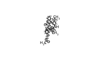 CCNc1ccc(NC(=O)CN(C)C)cc1N=C1SC(=C2Sc3ccc(OCCOC(C)=O)cc3N2C)C(=O)N1Cc1ccccc1